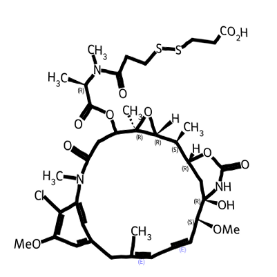 COc1cc2cc(c1Cl)N(C)C(=O)CC(OC(=O)[C@@H](C)N(C)C(=O)CCSSCCC(=O)O)[C@@]1(C)O[C@@H]1[C@@H](C)[C@H]1C[C@](O)(NC(=O)O1)[C@@H](OC)/C=C/C=C(\C)C2